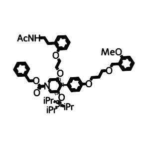 COc1ccccc1COCCCOc1ccc([C@@H]2[C@@H](OCCOc3ccccc3CCNC(C)=O)CN(C(=O)OCc3ccccc3)C[C@H]2O[Si](C(C)C)(C(C)C)C(C)C)cc1